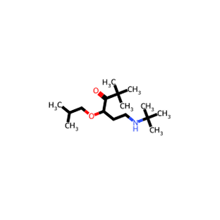 CC(C)COC(CCNC(C)(C)C)C(=O)C(C)(C)C